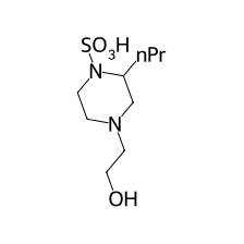 CCCC1CN(CCO)CCN1S(=O)(=O)O